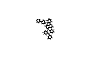 c1ccc(-c2ccc(N(c3ccccc3)c3ccc4c5c(cccc35)-c3cccc(N(c5ccccc5)c5ccccc5)c3O4)cc2)cc1